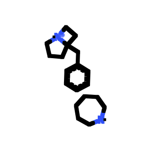 C1CCC[N]CC1.c1ccc(CC23CCC[N+]2CC3)cc1